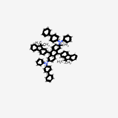 CC1(C)c2ccccc2-c2ccc(-c3c4c(c(-c5ccc6c(c5)C(C)(C)c5ccccc5-6)c5cc(N(c6ccccc6)c6ccc(-c7ccccc7)cc6)ccc35)=CCC(C)(N(c3ccccc3)c3ccc(-c5ccccc5)cc3)C=4)cc21